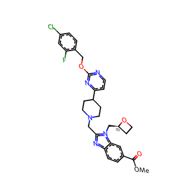 COC(=O)c1ccc2nc(CN3CCC(c4ccnc(OCc5ccc(Cl)cc5F)n4)CC3)n(C[C@@H]3CCO3)c2c1